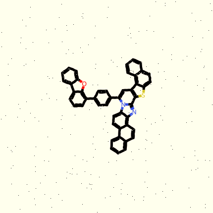 c1ccc2c(c1)ccc1c2ccc2c1nc1c3sc4ccc5ccccc5c4c3cc(-c3ccc(-c4cccc5c4oc4ccccc45)cc3)n21